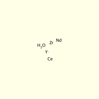 O.[Ce].[Nd].[Y].[Zr]